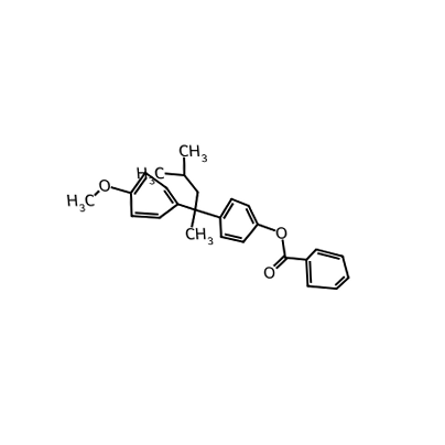 COc1ccc(C(C)(CC(C)C)c2ccc(OC(=O)c3ccccc3)cc2)cc1